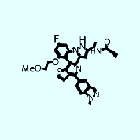 C#CC(=O)NC(C)c1cc(-c2nc(-c3ccc4c(cnn4C)c3)c3ccsc3c2-c2c(F)cc(F)cc2OCCOC)n[nH]1